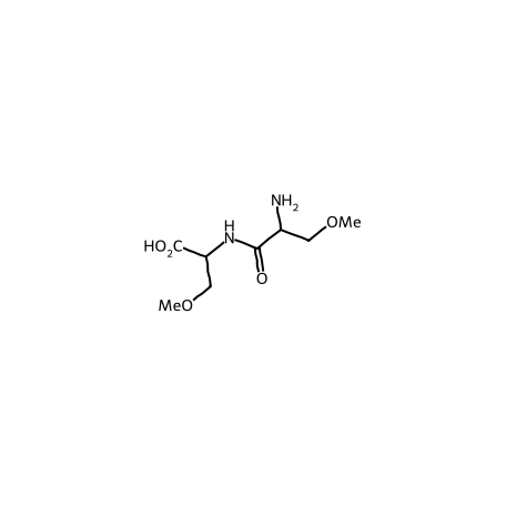 COCC(N)C(=O)NC(COC)C(=O)O